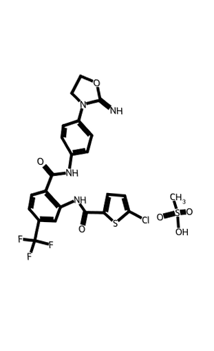 CS(=O)(=O)O.N=C1OCCN1c1ccc(NC(=O)c2ccc(C(F)(F)F)cc2NC(=O)c2ccc(Cl)s2)cc1